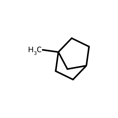 CC12CCC(CC1)C2